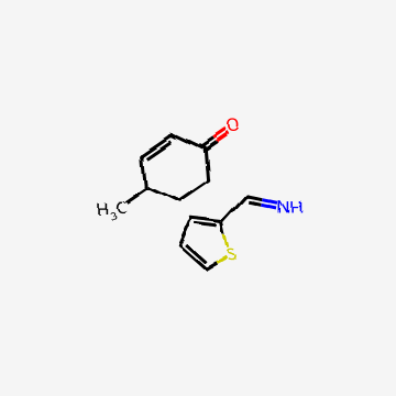 CC1C=CC(=O)CC1.N=Cc1cccs1